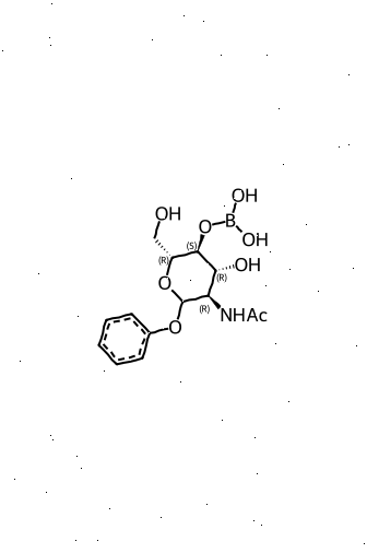 CC(=O)N[C@H]1C(Oc2ccccc2)O[C@H](CO)[C@@H](OB(O)O)[C@@H]1O